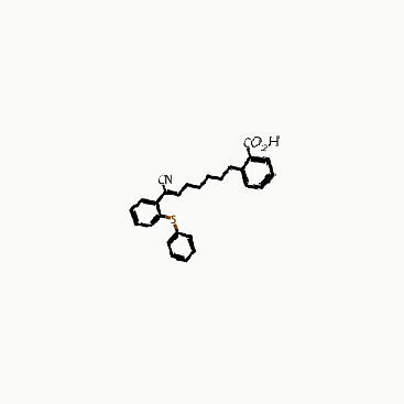 N#C/C(=C\CCCCCc1ccccc1C(=O)O)c1ccccc1Sc1ccccc1